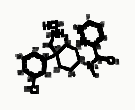 CN(C(=O)c1cccnn1)[C@H]1CC[C@@](CN)(c2cccc(Cl)c2)CC1.Cl